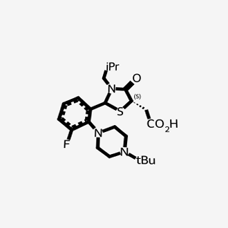 CC(C)CN1C(=O)[C@H](CC(=O)O)SC1c1cccc(F)c1N1CCN(C(C)(C)C)CC1